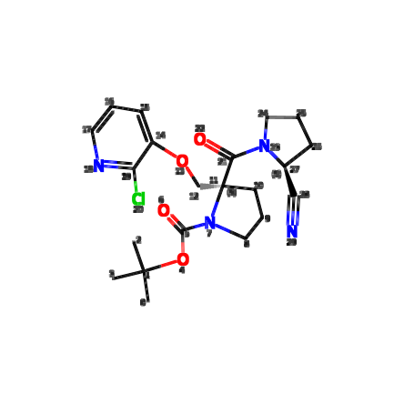 CC(C)(C)OC(=O)N1CCC[C@]1(COc1cccnc1Cl)C(=O)N1CCC[C@H]1C#N